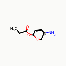 CCC(=O)OC1C=C[C@@H](N)CO1